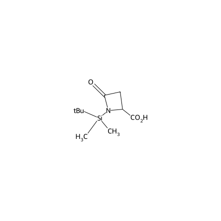 CC(C)(C)[Si](C)(C)N1C(=O)CC1C(=O)O